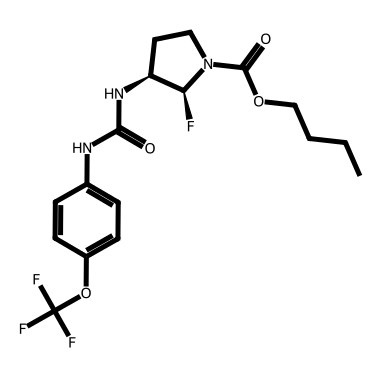 CCCCOC(=O)N1CC[C@H](NC(=O)Nc2ccc(OC(F)(F)F)cc2)[C@@H]1F